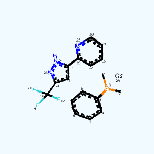 CP(C)c1ccccc1.FC(F)(F)c1cc(-c2ccccn2)[nH]n1.[Os]